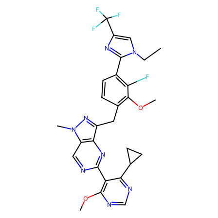 CCn1cc(C(F)(F)F)nc1-c1ccc(Cc2nn(C)c3cnc(-c4c(OC)ncnc4C4CC4)nc23)c(OC)c1F